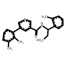 Cc1ccccc1C(CC(=O)O)NC(=O)c1cncc(-c2cccc(C)c2C)c1